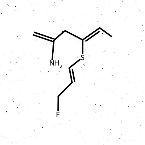 C=C(N)C/C(=C/C)S/C=C/CF